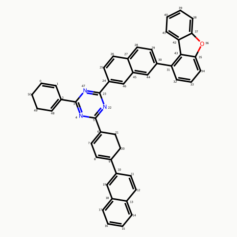 C1=CC(c2nc(C3=CC=C(c4ccc5ccccc5c4)CC3)nc(-c3ccc4ccc(-c5cccc6oc7ccccc7c56)cc4c3)n2)=CCC1